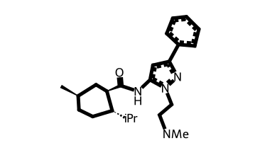 CNCCn1nc(-c2ccccc2)cc1NC(=O)[C@@H]1C[C@H](C)CC[C@H]1C(C)C